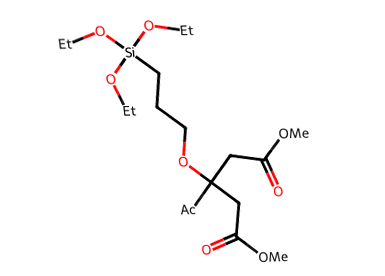 CCO[Si](CCCOC(CC(=O)OC)(CC(=O)OC)C(C)=O)(OCC)OCC